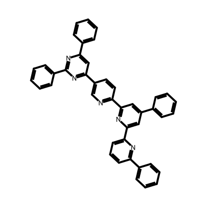 c1ccc(-c2cc(-c3ccc(-c4cc(-c5ccccc5)nc(-c5ccccc5)n4)cn3)nc(-c3cccc(-c4ccccc4)n3)c2)cc1